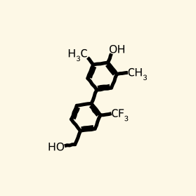 Cc1cc(-c2ccc(CO)cc2C(F)(F)F)cc(C)c1O